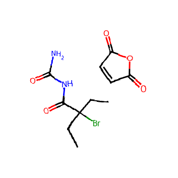 CCC(Br)(CC)C(=O)NC(N)=O.O=C1C=CC(=O)O1